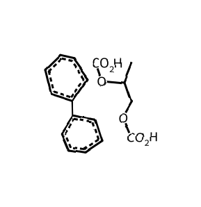 CC(COC(=O)O)OC(=O)O.c1ccc(-c2ccccc2)cc1